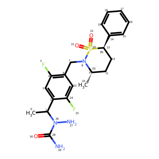 CC(c1cc(F)c(CN2[C@@H](C)CC[C@H](c3ccccc3)S2(=O)=O)cc1F)N(N)C(N)=O